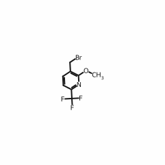 COc1nc(C(F)(F)F)ccc1CBr